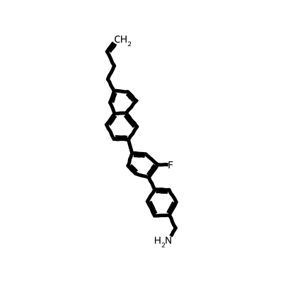 C=CCCc1ccc2cc(-c3ccc(-c4ccc(CN)cc4)c(F)c3)ccc2c1